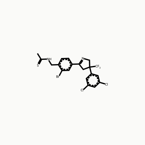 CC(=S)NCc1ccc(C2=NCC(c3cc(Cl)cc(Cl)c3)(C(F)(F)F)C2)cc1Br